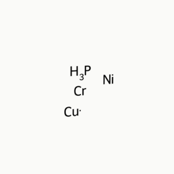 P.[Cr].[Cu].[Ni]